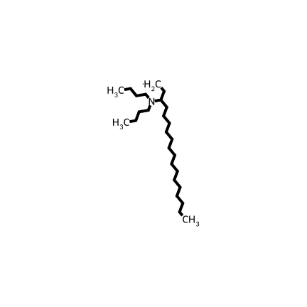 [CH2]CC(CCCCCCCCCCCCCCC)N(CCCC)CCCC